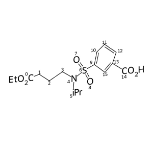 CCOC(=O)CCCN(C(C)C)S(=O)(=O)c1cccc(C(=O)O)c1